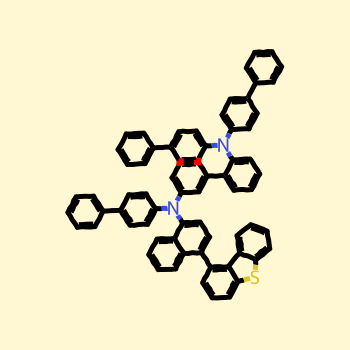 c1ccc(-c2ccc(N(c3ccc(-c4ccccc4)cc3)c3ccccc3-c3cccc(N(c4ccc(-c5ccccc5)cc4)c4ccc(-c5cccc6sc7ccccc7c56)c5ccccc45)c3)cc2)cc1